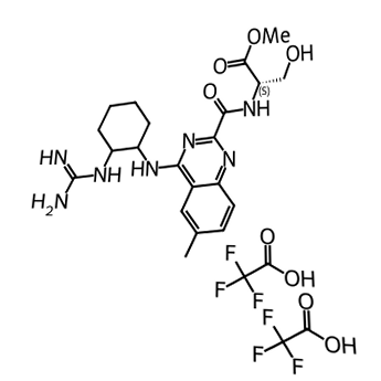 COC(=O)[C@H](CO)NC(=O)c1nc(NC2CCCCC2NC(=N)N)c2cc(C)ccc2n1.O=C(O)C(F)(F)F.O=C(O)C(F)(F)F